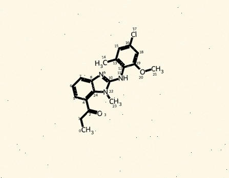 CCC(=O)c1cccc2nc(Nc3c(C)cc(Cl)cc3OC)n(C)c12